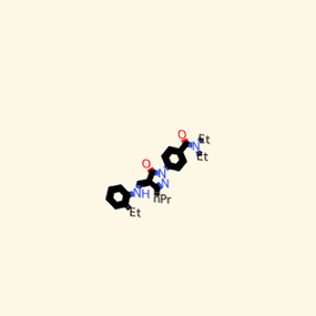 CCCC1=NN(c2ccc(C(=O)N(CC)CC)cc2)C(=O)/C1=C/Nc1ccccc1CC